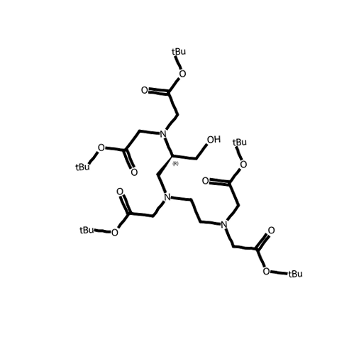 CC(C)(C)OC(=O)CN(CCN(CC(=O)OC(C)(C)C)C[C@H](CO)N(CC(=O)OC(C)(C)C)CC(=O)OC(C)(C)C)CC(=O)OC(C)(C)C